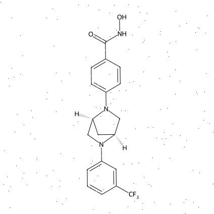 O=C(NO)c1ccc(N2C[C@@H]3C[C@H]2CN3c2cccc(C(F)(F)F)c2)cc1